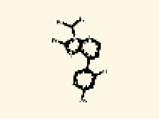 CCc1nc2c(-c3ccc(C(C)=O)cc3Cl)ccnc2n1C(CC)CC